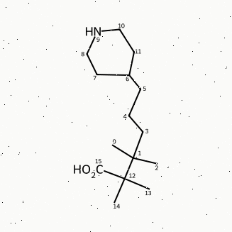 CC(C)(CCCC1CCNCC1)C(C)(C)C(=O)O